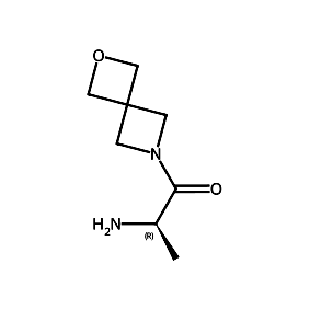 C[C@@H](N)C(=O)N1CC2(COC2)C1